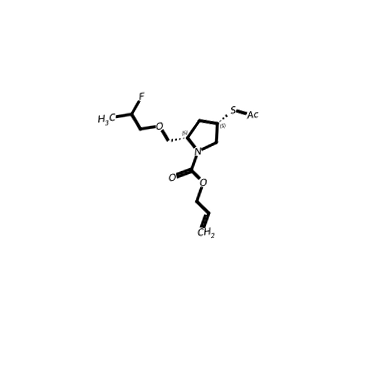 C=CCOC(=O)N1C[C@@H](SC(C)=O)C[C@H]1COCC(C)F